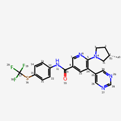 C[C@H]1CCN(c2ncc(C(=O)Nc3ccc(SC(F)(F)F)cc3)cc2-c2cncnc2)C1